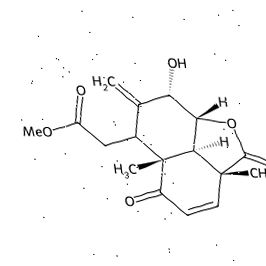 C=C1C(CC(=O)OC)[C@@]2(C)C(=O)C=C[C@@]3(C)C(=O)O[C@@H]([C@H]1O)[C@@H]32